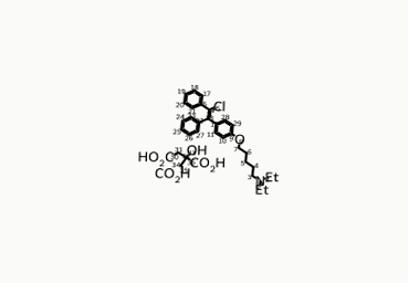 CCN(CC)CCCCCOc1ccc(C(=C(Cl)c2ccccc2)c2ccccc2)cc1.O=C(O)CC(O)(CC(=O)O)C(=O)O